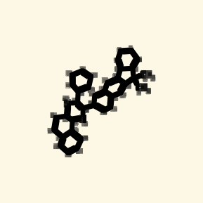 CC1(C)c2ccccc2-c2cc3cc(-c4nc5c(ccc6ccccc65)nc4-c4ccccc4)ccc3cc21